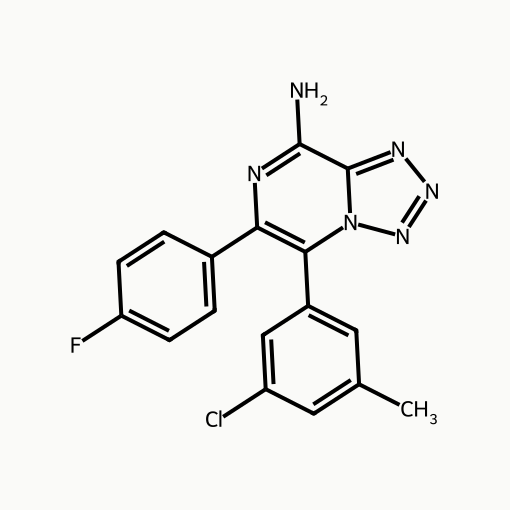 Cc1cc(Cl)cc(-c2c(-c3ccc(F)cc3)nc(N)c3nnnn23)c1